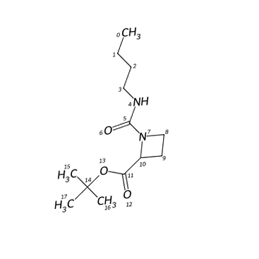 CCCCNC(=O)N1CCC1C(=O)OC(C)(C)C